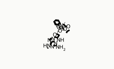 CNc1nc(N)nc2c1ncn2[C@@H]1O[C@H](CO[P@@](=S)(N[C@H](C)C(=O)OC(C)C)Oc2ccccc2)CC1=N